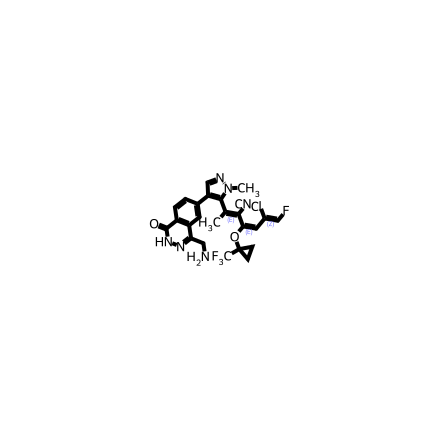 C\C(=C(C#N)/C(=C\C(Cl)=C\F)OC1(C(F)(F)F)CC1)c1c(-c2ccc3c(=O)[nH]nc(CN)c3c2)cnn1C